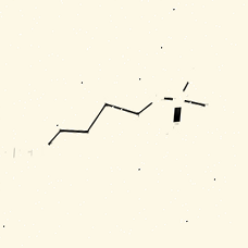 CCCCCCCCCSP(O)(=S)S